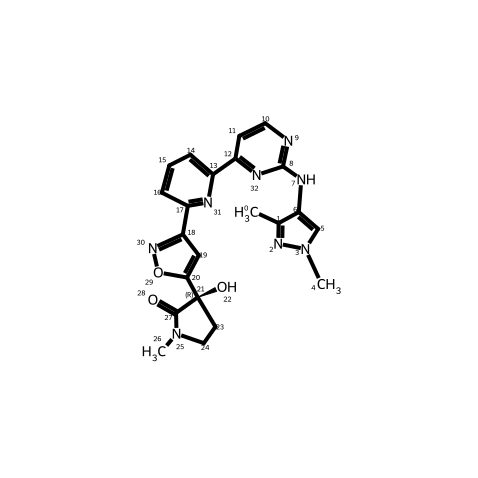 Cc1nn(C)cc1Nc1nccc(-c2cccc(-c3cc([C@]4(O)CCN(C)C4=O)on3)n2)n1